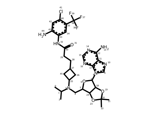 CC(C)N(CC1OC(n2cnc3c(N)ncnc32)C2OC(C)(C)OC12)C1CC(CCC(=O)Nc2cc(C(F)(F)F)c(Cl)cc2N)C1